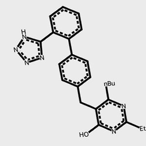 CCCCc1nc(CC)nc(O)c1Cc1ccc(-c2ccccc2-c2nnn[nH]2)cc1